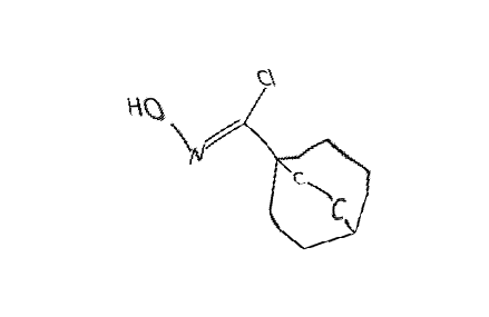 ON=C(Cl)C12CCC(CC1)CC2